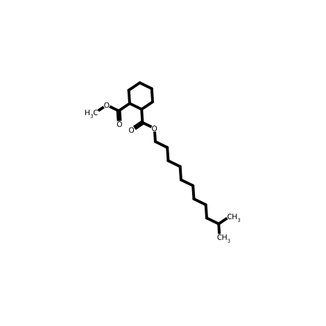 COC(=O)C1CCCCC1C(=O)OCCCCCCCCCC(C)C